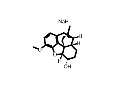 COc1ccc2c3c1O[C@H]1[C@@H](O)CC[C@H]4[C@@H](C2)N(C)CC[C@@]341.[NaH]